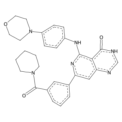 O=C(c1cccc(-c2cc3nc[nH]c(=O)c3c(Nc3ccc(N4CCOCC4)cc3)n2)c1)N1CCCCC1